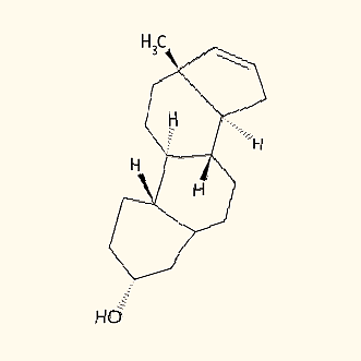 C[C@@]12C=CC[C@H]1[C@@H]1CCC3C[C@H](O)CC[C@@H]3[C@H]1CC2